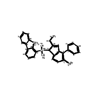 CCCc1ccc2c(c1-c1ccccc1)C=C(CC(C)C)[CH]2[Zr]([Cl])([Cl])[c]1cccc2c1[SiH2]c1ccccc1-2